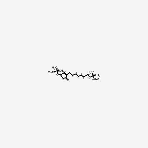 COC(C)(C)OCCCCCCCC1=CC(OC(C)(C)OC)CC1=O